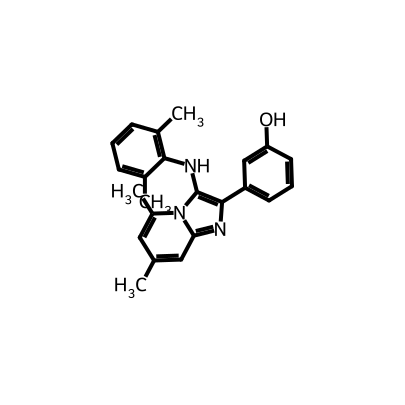 Cc1cc(C)n2c(Nc3c(C)cccc3C)c(-c3cccc(O)c3)nc2c1